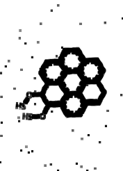 SOC1=c2ccc3c4c5c(ccc6ccc7ccc(c(c24)c7c65)C1OS)CC=3